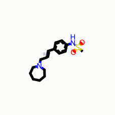 CS(=O)(=O)Nc1ccc(/C=C/CN2CCCCCC2)cc1